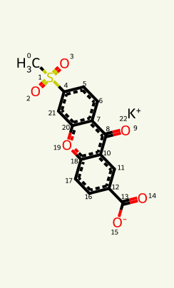 CS(=O)(=O)c1ccc2c(=O)c3cc(C(=O)[O-])ccc3oc2c1.[K+]